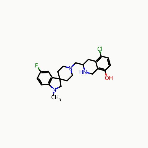 CN1CC2(CCN(CC3Cc4c(Cl)ccc(O)c4CN3)CC2)c2cc(F)ccc21